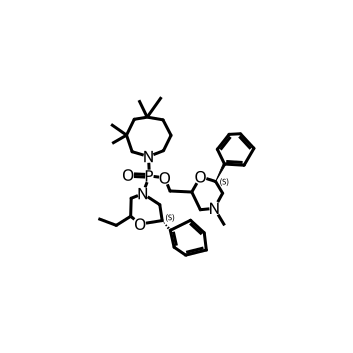 CCC1CN(P(=O)(OCC2CN(C)C[C@H](c3ccccc3)O2)N2CCCC(C)(C)CC(C)(C)C2)C[C@H](c2ccccc2)O1